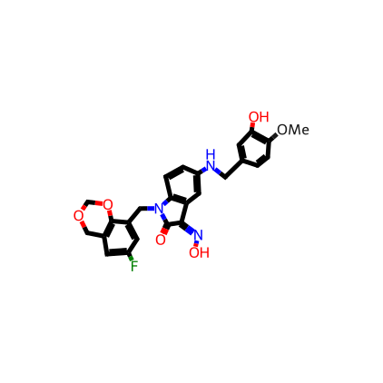 COc1ccc(CNc2ccc3c(c2)/C(=N/O)C(=O)N3Cc2cc(F)cc3c2OCOC3)cc1O